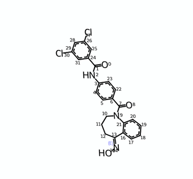 O=C(Nc1ccc(C(=O)N2CCC/C(=N\O)c3ccccc32)cc1)c1cc(Cl)cc(Cl)c1